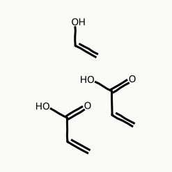 C=CC(=O)O.C=CC(=O)O.C=CO